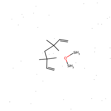 C=CC(C)(C)CC(C)(C)C=C.[SiH3]O[SiH3]